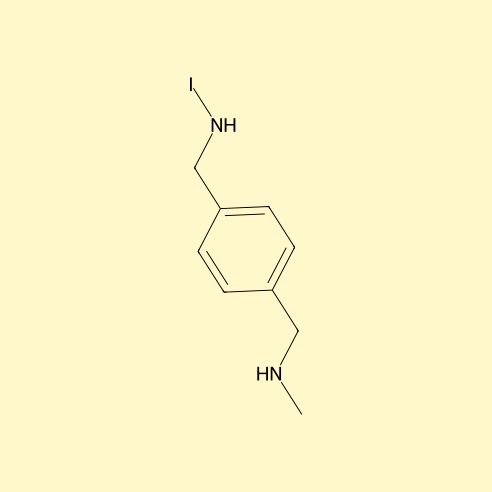 CNCc1ccc(CNI)cc1